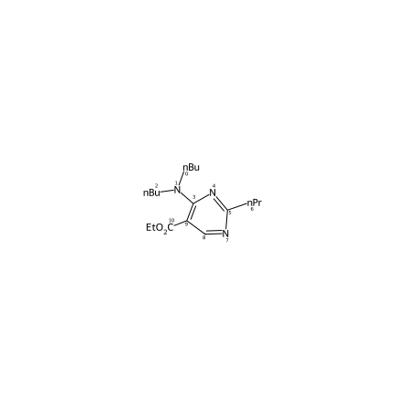 CCCCN(CCCC)c1nc(CCC)ncc1C(=O)OCC